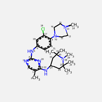 Cc1cnc(Nc2ccc(N3CCN(C)CC3)c(Cl)c2)nc1NC1CC(C)(C)N(C)C(C)(C)C1